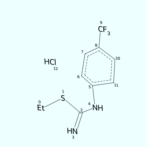 CCSC(=N)Nc1ccc(C(F)(F)F)cc1.Cl